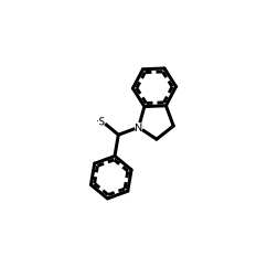 [S]C(c1ccccc1)N1CCc2ccccc21